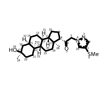 CSc1cnn(CC(=O)[C@H]2CC[C@H]3[C@@H]4CC[C@@H]5C[C@](C)(O)CC[C@]5(C)[C@H]4CC[C@]23C)c1